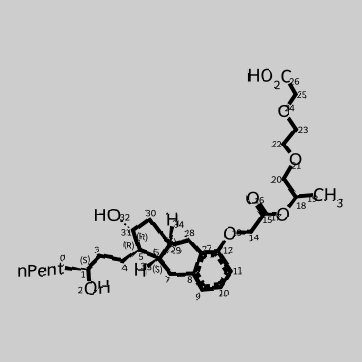 CCCCC[C@H](O)CC[C@@H]1[C@H]2Cc3cccc(OCC(=O)OC(C)COCCOCC(=O)O)c3C[C@H]2C[C@H]1O